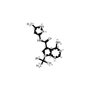 Cc1cc(NC(=O)c2cn(C(C)(C)C(C)C)c3ncnc(N)c23)n[nH]1